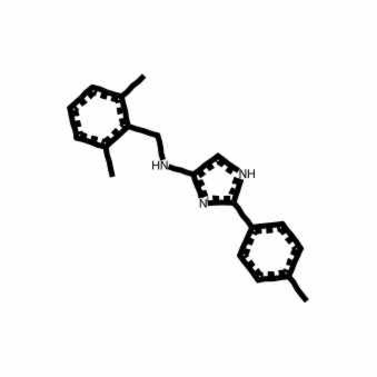 Cc1ccc(-c2nc(NCc3c(C)cccc3C)c[nH]2)cc1